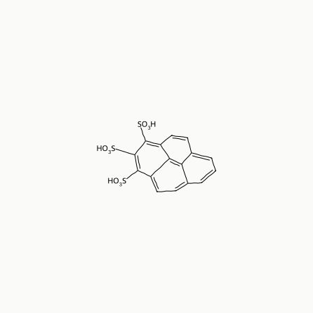 O=S(=O)(O)c1c(S(=O)(=O)O)c2ccc3cccc4ccc(c1S(=O)(=O)O)c2c34